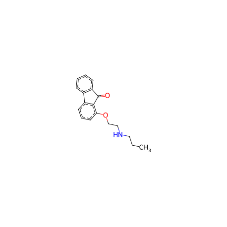 CCCNCCOc1cccc2c1C(=O)c1ccccc1-2